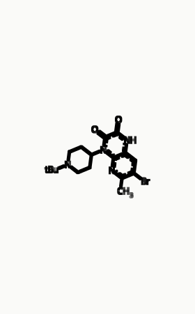 Cc1nc2c(cc1Br)[nH]c(=O)c(=O)n2C1CCN(C(C)(C)C)CC1